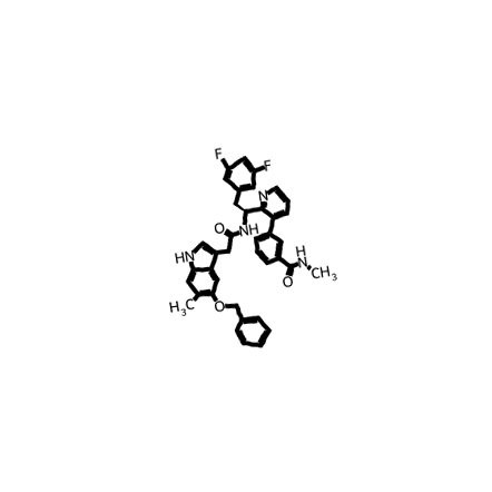 CNC(=O)c1cccc(-c2cccnc2[C@H](Cc2cc(F)cc(F)c2)NC(=O)Cc2c[nH]c3cc(C)c(OCc4ccccc4)cc23)c1